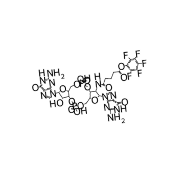 Nc1nc2c(ncn2C2OC3COP(=O)(O)OC4C(COP(=O)(O)OC3C2O)OC(n2cnc3c(=O)[nH]c(N)nc32)C4NC(=O)CCCC(=O)Oc2c(F)c(F)c(F)c(F)c2F)c(=O)[nH]1